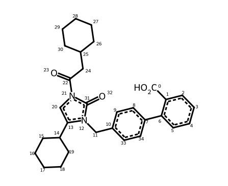 O=C(O)c1ccccc1-c1ccc(Cn2c(C3CCCCC3)cn(C(=O)CC3CCCCC3)c2=O)cc1